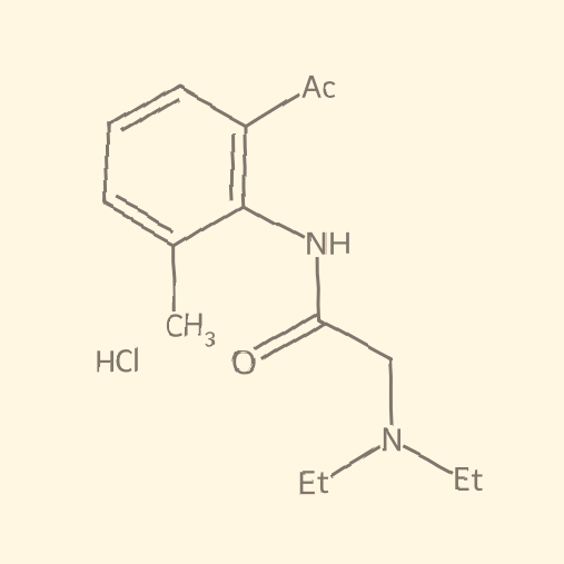 CCN(CC)CC(=O)Nc1c(C)cccc1C(C)=O.Cl